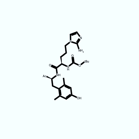 CC(=O)[C@H](Cc1c(C)cc(O)cc1C)NC(=O)[C@@H](CCCn1ccnc1N)NC(=O)OC(C)(C)C